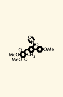 COC1=C(OC)C(=O)C(Cc2ccc(-c3ccc(OC)cc3)c(C(=O)N3CCOCC3)c2)=C(C)C1=O